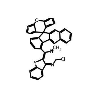 C=N/C(=C1/Sc2ccccc2/C1=N/CCl)c1cccc2c1-c1cc3ccccc3cc1C21c2ccccc2Oc2ccccc21